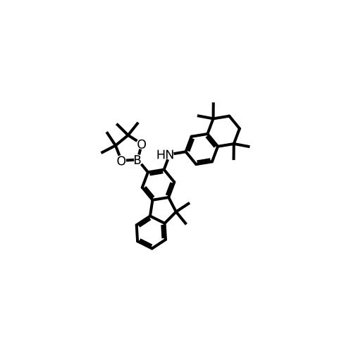 CC1(C)CCC(C)(C)c2cc(Nc3cc4c(cc3B3OC(C)(C)C(C)(C)O3)-c3ccccc3C4(C)C)ccc21